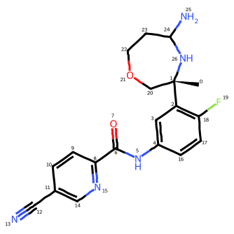 C[C@@]1(c2cc(NC(=O)c3ccc(C#N)cn3)ccc2F)COCCC(N)N1